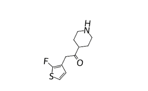 O=C(Cc1ccsc1F)C1CCNCC1